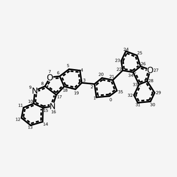 c1cc(-c2ccc3oc4nc5ccccc5nc4c3c2)cc(-c2cccc3oc4ccccc4c23)c1